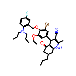 CCCC1CC(=O)C2=C(C1)NC(C)=C(C#N)C2c1cc(Br)c(OCc2cc(F)ccc2N(CCC)CCC)c(OCC)c1